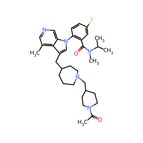 CC(=O)N1CCC(CN2CCCC(Cc3cn(-c4ccc(F)cc4C(=O)N(C)C(C)C)c4cncc(C)c34)CC2)CC1